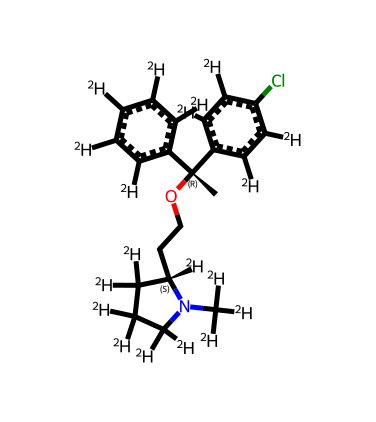 [2H]c1c([2H])c([2H])c([C@@](C)(OCC[C@]2([2H])N(C([2H])([2H])[2H])C([2H])([2H])C([2H])([2H])C2([2H])[2H])c2c([2H])c([2H])c(Cl)c([2H])c2[2H])c([2H])c1[2H]